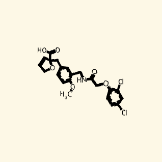 COc1ccc(CC2(C(=O)O)C=CCO2)cc1CNC(=O)COc1ccc(Cl)cc1Cl